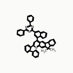 CC1(C)c2ccccc2-c2cc3c(-c4cc(-c5nc(-c6ccccc6)nc(-c6ccccc6)n5)cc5ccccc45)cc(-c4ccccc4-c4ccccc4)nc3cc21